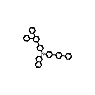 c1ccc(-c2ccc(-c3ccc(N(c4ccc(-c5ccc(-c6ccccc6)c(-c6ccccc6)c5)cc4)c4ccc5ccccc5c4)cc3)cc2)cc1